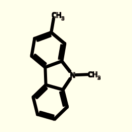 Cc1ccc2c3ccccc3n(C)c2c1